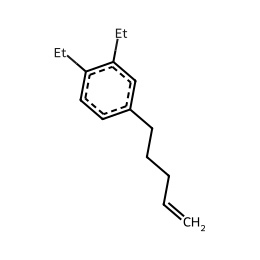 C=CCCCc1ccc(CC)c(CC)c1